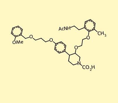 COc1ccccc1COCCCOc1ccc(C2CCN(C(=O)O)CC2OCCOc2c(C)cccc2CCNC(C)=O)cc1